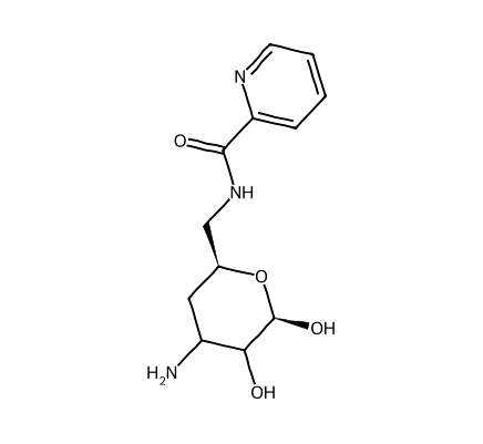 NC1C[C@@H](CNC(=O)c2ccccn2)O[C@@H](O)C1O